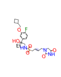 CC[C@@](O)(CNS(=O)(=O)C/C=C/CN1CC(=O)NC1=O)c1ccc(F)c(OCC2CCC2)c1